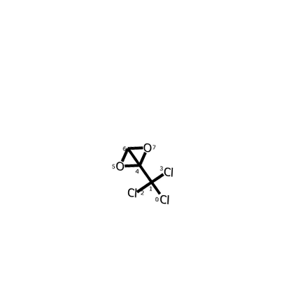 ClC(Cl)(Cl)C12OC1O2